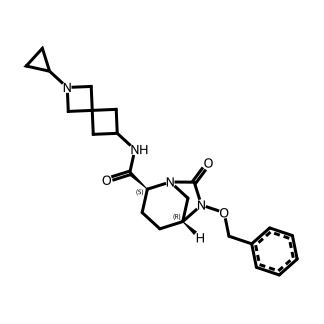 O=C(NC1CC2(C1)CN(C1CC1)C2)[C@@H]1CC[C@@H]2CN1C(=O)N2OCc1ccccc1